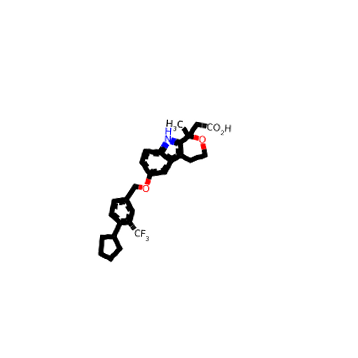 CC1(CC(=O)O)OCCc2c1[nH]c1ccc(OCc3ccc(C4CCCC4)c(C(F)(F)F)c3)cc21